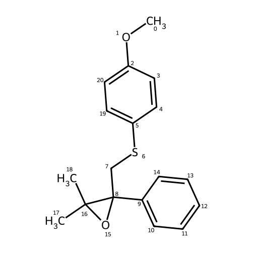 COc1ccc(SCC2(c3ccccc3)OC2(C)C)cc1